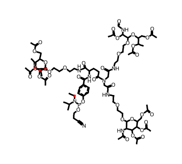 CC(=O)NC(OC(C)=O)C(OCCOCCNC(=O)C(CCC(=O)N(CC(=O)NCCOCCOC(OC(COC(C)=O)C(C)OC(C)=O)C(NC=O)OC(C)=O)CC(=O)NCCOCCOC1OC(COC(C)=O)C(OC(C)=O)C(OC(C)=O)C1NC(C)=O)NC(=O)c1ccc(OP(OCCC#N)N(C(C)C)C(C)C)cc1)OC(COC(C)=O)C(C)OC(C)=O